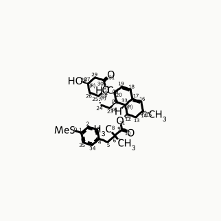 CSc1ccc(CC(C)(C)C(=O)O[C@H]2C[C@@H](C)C=C3C=C[C@H](C)[C@H](CC[C@@H]4C[C@@H](O)CC(=O)O4)[C@H]32)cc1